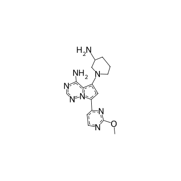 COc1nccc(-c2cc(N3CCCC(N)C3)c3c(N)ncnn23)n1